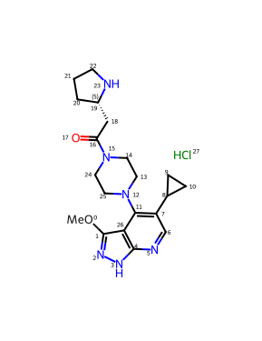 COc1n[nH]c2ncc(C3CC3)c(N3CCN(C(=O)C[C@@H]4CCCN4)CC3)c12.Cl